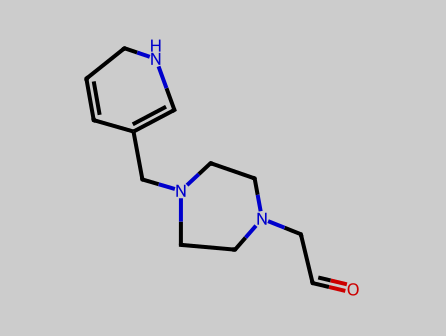 O=CCN1CCN(CC2=CNCC=C2)CC1